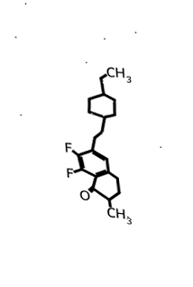 CCC1CCC(CCc2cc3c(c(F)c2F)C(=O)C(C)CC3)CC1